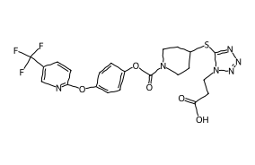 O=C(O)CCn1nnnc1SC1CCN(C(=O)Oc2ccc(Oc3ccc(C(F)(F)F)cn3)cc2)CC1